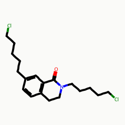 O=C1c2cc(CCCCCCl)ccc2CCN1CCCCCCl